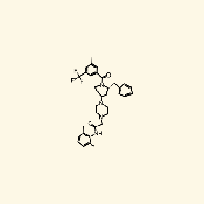 Cc1cc(C(=O)N2CC[C@H](N3CCN(CC(=O)Nc4c(C)cccc4C)CC3)C[C@H]2Cc2ccccc2)cc(C(F)(F)F)c1